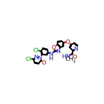 CNC(=O)c1cc(Oc2ccc3oc(Nc4ccc(Cl)c(-n5nc(Cl)ccc5=O)c4)nc3c2)ccn1